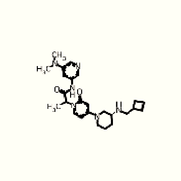 CC(C(=O)Nc1cncc(N(C)C)c1)n1ccc(N2CCC[C@@H](NCC3CCC3)C2)cc1=O